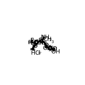 CC(N)c1oc(-c2ccc(OC(F)F)c(OCC3CC3)c2)nc1CCOC(=O)c1ccc(C(=O)O)cc1.Cl